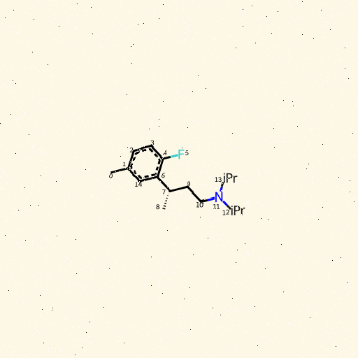 Cc1ccc(F)c([C@@H](C)CCN(C(C)C)C(C)C)c1